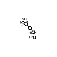 Nc1noc2cc(-c3ccc(-c4cnc(C5CCCN5)[nH]4)cc3)ccc12